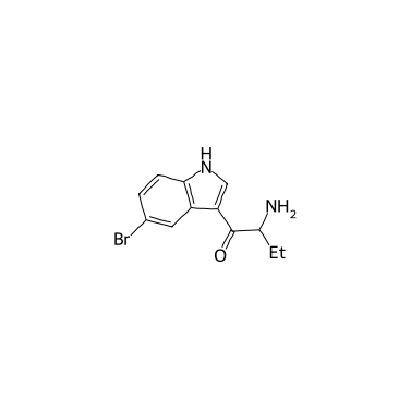 CCC(N)C(=O)c1c[nH]c2ccc(Br)cc12